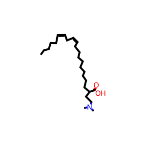 CCCCC/C=C\C/C=C\CCCCCCCCCC(CCN(C)C)C(=O)O